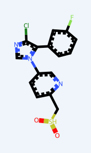 O=[SH](=O)Cc1ccc(-n2cnc(Cl)c2-c2cccc(F)c2)cn1